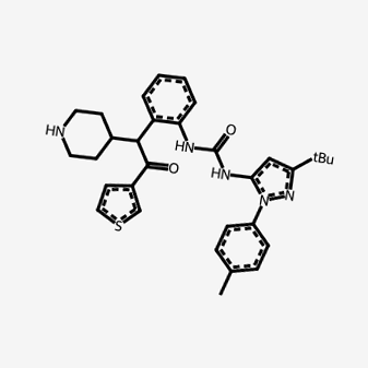 Cc1ccc(-n2nc(C(C)(C)C)cc2NC(=O)Nc2ccccc2C(C(=O)c2ccsc2)C2CCNCC2)cc1